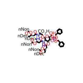 CCCCCCCCCCC[C@H](CC(=O)N[C@@H]1[C@@H](OC[C@H](NC(=O)C[C@@H](CCCCCCCCCCC)OC(=O)CCCCCCCCC)C(=O)O)O[C@@H](CO)[C@H](OP(=O)(OCc2ccccc2)OCc2ccccc2)[C@H]1OC(=O)C[C@@H](CCCCCCCCCCC)OC(=O)CCCCCCCCC)OC(=O)CCCCCCCCC